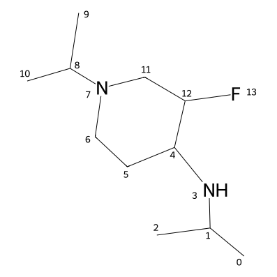 CC(C)NC1CCN(C(C)C)CC1F